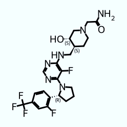 NC(=O)CN1CC[C@@H](CNc2ncnc(N3CCC[C@@H]3c3ccc(C(F)(F)F)cc3F)c2F)[C@H](O)C1